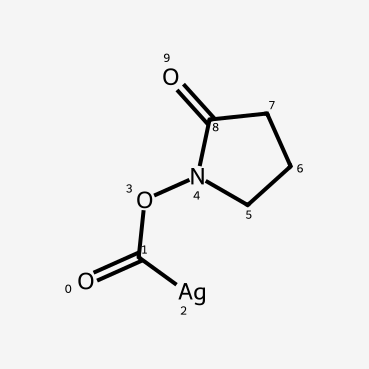 O=[C]([Ag])ON1CCCC1=O